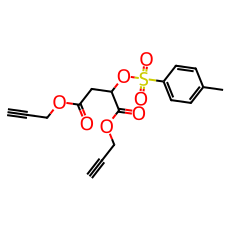 C#CCOC(=O)CC(OS(=O)(=O)c1ccc(C)cc1)C(=O)OCC#C